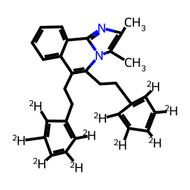 [2H]c1c([2H])c([2H])c(CCc2c(CCc3c([2H])c([2H])c([2H])c([2H])c3[2H])n3c(C)c(C)nc3c3ccccc23)c([2H])c1[2H]